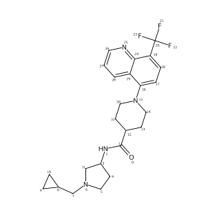 O=C(NC1CCN(CC2CC2)C1)C1CCN(c2ccc(C(F)(F)F)c3ncccc23)CC1